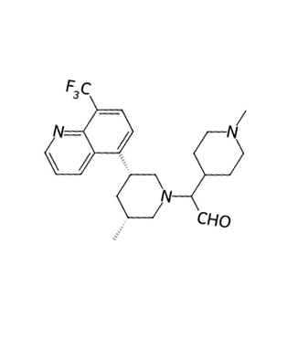 C[C@@H]1C[C@H](c2ccc(C(F)(F)F)c3ncccc23)CN(C(C=O)C2CCN(C)CC2)C1